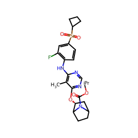 Cc1c(Nc2ccc(S(=O)(=O)C3CCC3)cc2F)ncnc1O[C@H]1CC2CCC1N2C(=O)OC(C)C